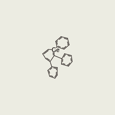 C1=[CH][Ge]([c]2ccccc2)=[C](c2ccccc2)C(c2ccccc2)=C1